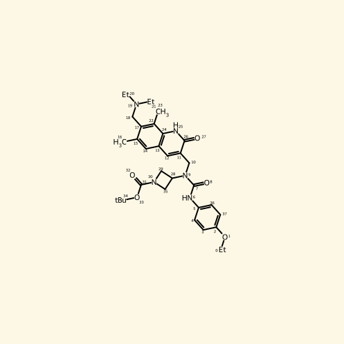 CCOc1ccc(NC(=O)N(Cc2cc3cc(C)c(CN(CC)CC)c(C)c3[nH]c2=O)C2CN(C(=O)OC(C)(C)C)C2)cc1